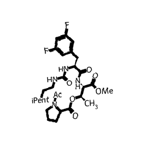 CCCC(C)CCNC(=O)N[C@@H](Cc1cc(F)cc(F)c1)C(=O)N[C@H](C(=O)OC)[C@@H](C)OC(=O)C1CCCN1C(C)=O